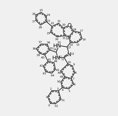 c1ccc(-c2ccc3ccc(C4=NC(c5cccc6oc7cc(-c8ccccc8)ccc7c56)NC(c5ccccc5-c5ccccc5)N4)cc3c2)cc1